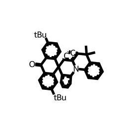 CC(C)(C)c1ccc2c(c1)C(=O)c1ccc(C(C)(C)C)cc1C21c2ccccc2N2c3ccccc3C(C)(C)c3cccc1c32